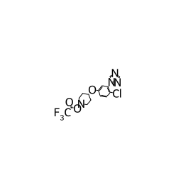 O=C(ON1CCC(Oc2ccc(Cl)c(-n3cncn3)c2)CC1)C(F)(F)F